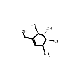 NC1C=C(CO)[C@@H](O)[C@H](O)[C@H]1O